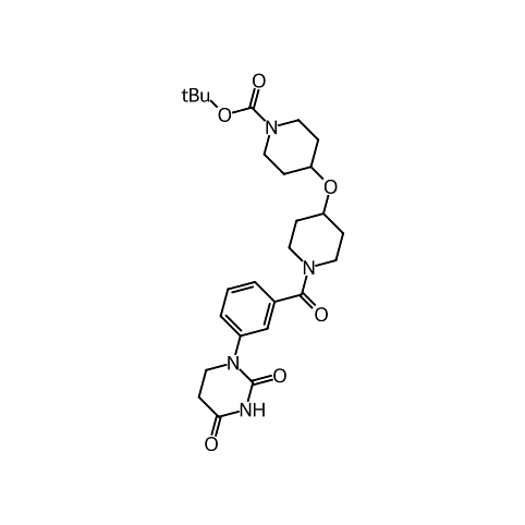 CC(C)(C)OC(=O)N1CCC(OC2CCN(C(=O)c3cccc(N4CCC(=O)NC4=O)c3)CC2)CC1